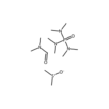 CN(C)C=O.CN(C)P(=O)(N(C)C)N(C)C.C[S+](C)[O-]